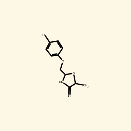 CC1OC(COc2ccc(Cl)cc2)NC1=O